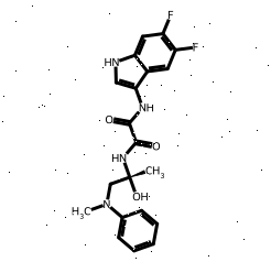 CN(C[C@@](C)(O)NC(=O)C(=O)Nc1c[nH]c2cc(F)c(F)cc12)c1ccccc1